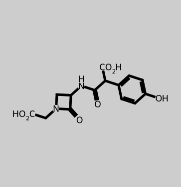 O=C(O)CN1CC(NC(=O)C(C(=O)O)c2ccc(O)cc2)C1=O